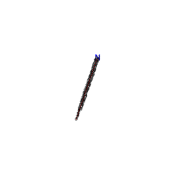 CC#CC#CC#CC#CC#CC#CC#CC#CC#CC#CC#CC#CC#CC#CC#CC#CC#CC#CC#CC#CC#CC#CC#CC#CC#CC#CC#CC#CC#CC#CC#N